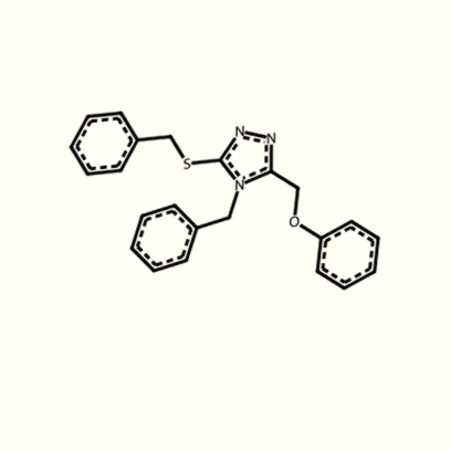 c1ccc(CSc2nnc(COc3ccccc3)n2Cc2ccccc2)cc1